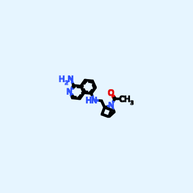 CC(=O)N1CC2CC1(CNc1cccc3c(N)nccc13)C2